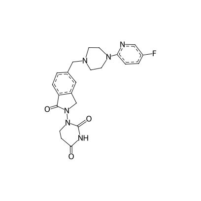 O=C1CCN(N2Cc3cc(CN4CCN(c5ccc(F)cn5)CC4)ccc3C2=O)C(=O)N1